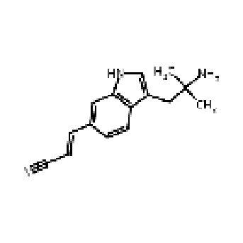 CC(C)(N)Cc1c[nH]c2cc(/C=C/C#N)ccc12